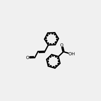 O=C(O)c1ccccc1.O=CC=Cc1ccccc1